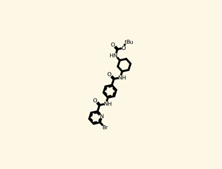 CC(C)(C)OC(=O)NC1CCCC(NC(=O)c2ccc(NC(=O)c3cccc(Br)n3)cc2)C1